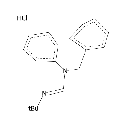 CC(C)(C)N=CN(Cc1ccccc1)c1ccccc1.Cl